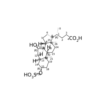 C[C@H](CCC(=O)O)[C@H]1CC[C@H]2[C@@H]3[C@H](O)C[C@@H]4C[C@H](OS(=O)(=O)O)CC[C@]4(C)[C@H]3CC[C@]12C